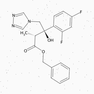 C[C@@H](C(=O)OCc1ccccc1)[C@](O)(Cn1cnnc1)c1ccc(F)cc1F